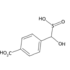 O=C(O)c1ccc(C(O)S(=O)O)cc1